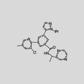 Cc1cnc(-c2cc(C(=O)NC(C)c3cnccn3)cc(-c3ccnn3C(C)C)c2)c(Cl)c1